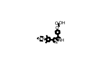 Cc1cc(-c2cnc3[nH]cc(-c4ccc(OCC(=O)O)cc4)c3c2)cc(C)c1N1CCN(C)CC1